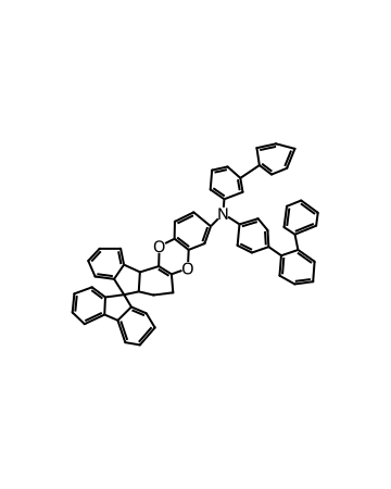 c1ccc(-c2cccc(N(c3ccc(-c4ccccc4-c4ccccc4)cc3)c3ccc4c(c3)OC3=C(O4)C4c5ccccc5C5(c6ccccc6-c6ccccc65)C4CC3)c2)cc1